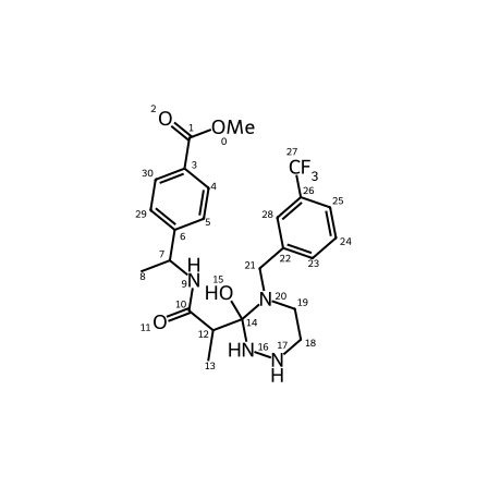 COC(=O)c1ccc(C(C)NC(=O)C(C)C2(O)NNCCN2Cc2cccc(C(F)(F)F)c2)cc1